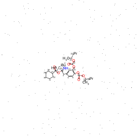 CCC(C)N[C@@](Cc1ccc(OC(=O)OC(C)C(C)C)c(OC(=O)OC(C)C(C)C)c1)(OC(=O)C1CCCCC1)C(=O)O